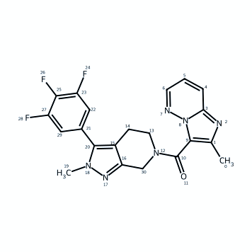 Cc1nc2cccnn2c1C(=O)N1CCc2c(nn(C)c2-c2cc(F)c(F)c(F)c2)C1